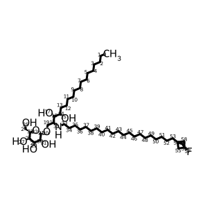 CCCCCCCCCCCCCCC(O)C(O)C(CO[C@H]1O[C@H](CO)[C@H](O)[C@H](O)[C@H]1O)NCCCCCCCCCCCCCCCCCCCCCC12CC(F)(C1)C2